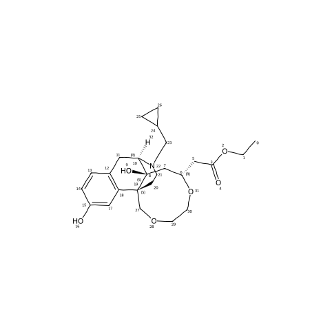 CCOC(=O)C[C@H]1C[C@@]2(O)[C@H]3Cc4ccc(O)cc4[C@@]2(CCN3CC2CC2)COCCO1